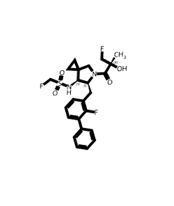 C[C@](O)(CF)C(=O)N1CC2(CC2)[C@H](NS(=O)(=O)CF)[C@@H]1Cc1cccc(-c2ccccc2)c1F